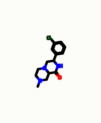 CN1CCN2CC(c3cccc(Cl)c3)NC(=O)C2C1